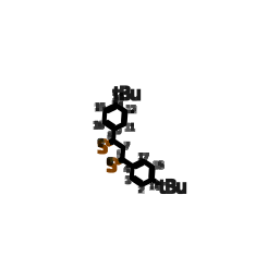 CC(C)(C)c1ccc(C(=S)CC(=S)c2ccc(C(C)(C)C)cc2)cc1